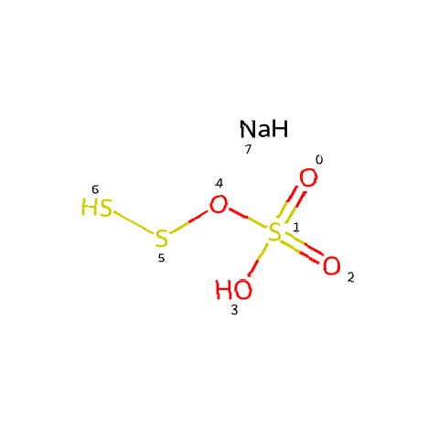 O=S(=O)(O)OSS.[NaH]